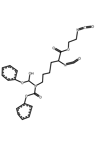 O=C=NCCOC(=O)C(CCCCN(C(=O)Oc1ccccc1)C(O)Oc1ccccc1)N=C=O